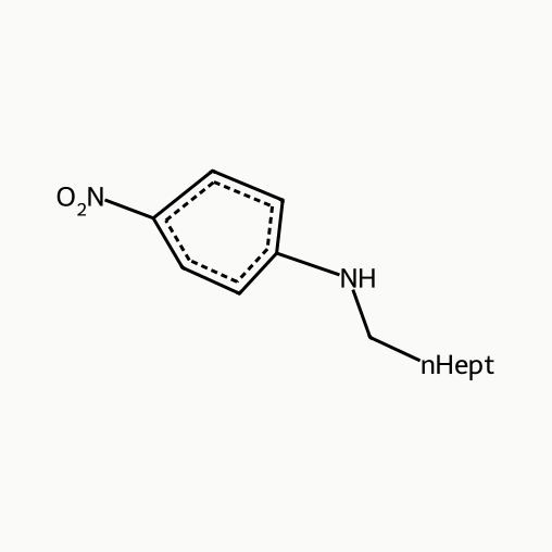 CCCCCCCCNc1ccc([N+](=O)[O-])cc1